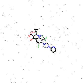 O=C(O)c1c(C2CC2)[nH]c2c(C(F)(F)F)c(N3CCN(c4ccccn4)CC3)c(F)cc2c1=O